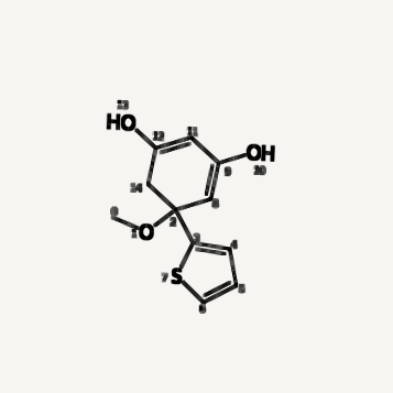 COC1(c2cccs2)C=C(O)C=C(O)C1